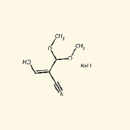 COC(OC)/C(C#N)=C\O.[NaH]